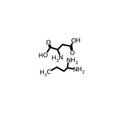 CCCC(N)N.NC(CC(=O)O)C(=O)O